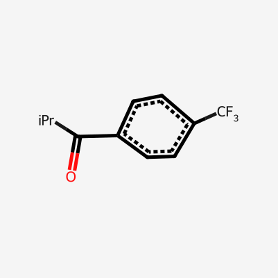 CC(C)C(=O)c1ccc(C(F)(F)F)cc1